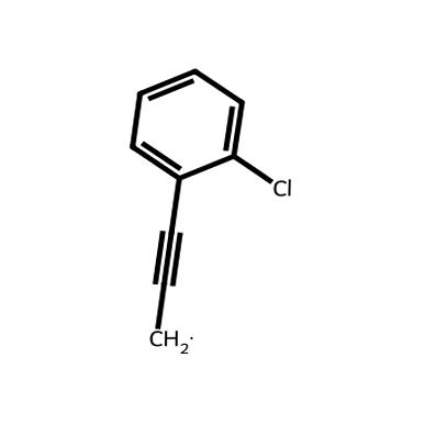 [CH2]C#Cc1ccccc1Cl